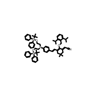 CC(C)c1cccc(C(C)C)c1COC1=C(/C=C/c2ccc(N(CCO[Si](c3ccccc3)(c3ccccc3)C(C)(C)C)CCO[Si](c3ccccc3)(c3ccccc3)C(C)(C)C)cc2)CC(C)(C)C/C1=C\C#N